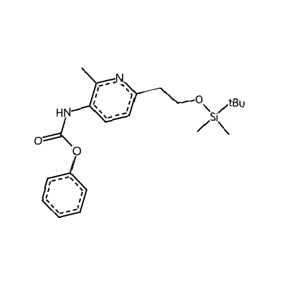 Cc1nc(CCO[Si](C)(C)C(C)(C)C)ccc1NC(=O)Oc1ccccc1